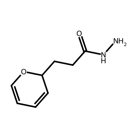 NNC(=O)CCC1C=CC=CO1